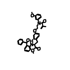 C=C(C)C(=O)N(CCOc1ccc(CC(Nc2ccccc2C(=O)c2ccccc2)C(=O)OC)cc1)c1cccc(OC)c1